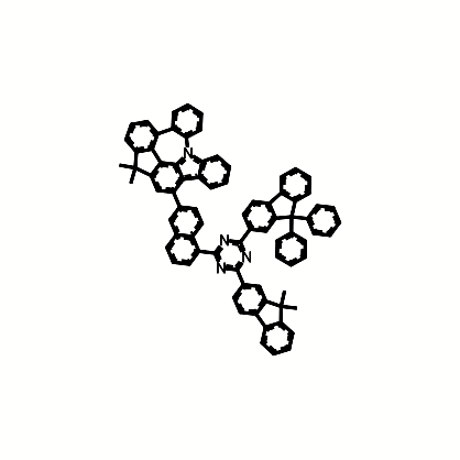 CC1(C)c2ccccc2-c2ccc(-c3nc(-c4ccc5c(c4)C(c4ccccc4)(c4ccccc4)c4ccccc4-5)nc(-c4cccc5cc(-c6cc7c8c9c6c6ccccc6n9-c6ccccc6-c6cccc(c6-8)C7(C)C)ccc45)n3)cc21